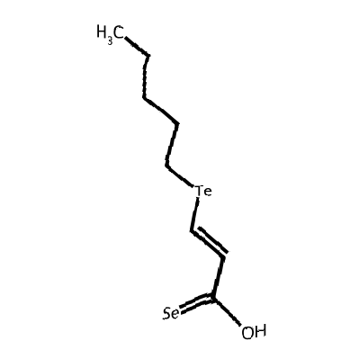 CCCCC[Te]C=CC(O)=[Se]